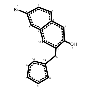 Oc1cc2ccc(Br)cc2nc1Cc1ccccc1